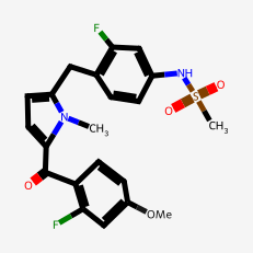 COc1ccc(C(=O)c2ccc(Cc3ccc(NS(C)(=O)=O)cc3F)n2C)c(F)c1